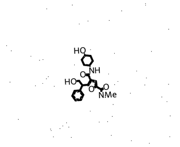 CNC(=O)c1cc(C(=O)N[C@H]2CC[C@H](O)CC2)c(C(CO)c2ccccc2)o1